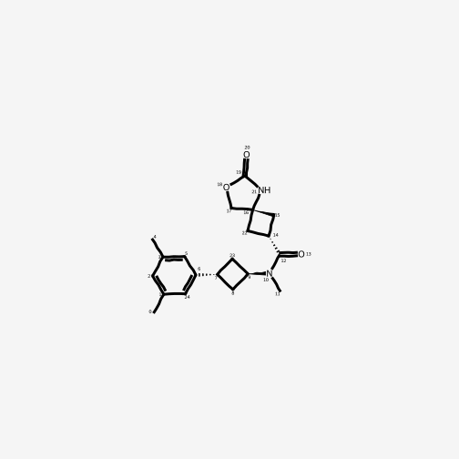 Cc1cc(C)cc([C@H]2C[C@H](N(C)C(=O)[C@H]3C[C@]4(COC(=O)N4)C3)C2)c1